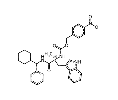 C[C@@](Cc1c[nH]c2ccccc12)(NC(=O)OCc1ccc([N+](=O)[O-])cc1)C(=O)NC(c1ccccn1)C1CCCCC1